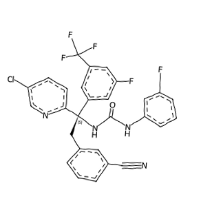 N#Cc1cccc(C[C@](NC(=O)Nc2cccc(F)c2)(c2cc(F)cc(C(F)(F)F)c2)c2ccc(Cl)cn2)c1